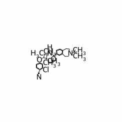 CC(C)N1CCc2ccc(C(=O)N[C@H]3C(C)(C)[C@H](Oc4ccc(C#N)c(Cl)c4)C3(C)C)cc2CC1